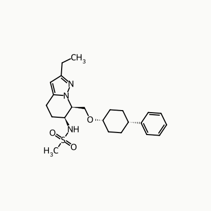 CCc1cc2n(n1)[C@@H](CO[C@H]1CC[C@@H](c3ccccc3)CC1)[C@@H](NS(C)(=O)=O)CC2